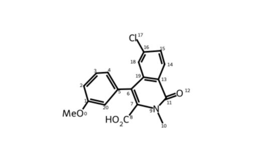 COc1cccc(-c2c(C(=O)O)n(C)c(=O)c3ccc(Cl)cc23)c1